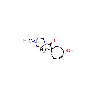 CN1CCN(C(=O)[C@@]2(C)CC/C=C\[C@@H](O)CC2)CC1